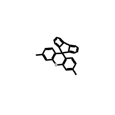 Cc1ccc2c(c1)Oc1cc(C)ccc1C21c2ccccc2-c2ccccc21